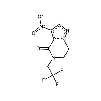 O=C1c2c([N+](=O)[O-])cnn2CCN1CC(F)(F)F